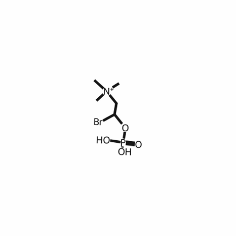 C[N+](C)(C)CC(Br)OP(=O)(O)O